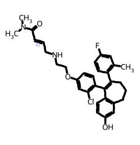 Cc1cc(F)ccc1C1=C(c2ccc(OCCNC/C=C/C(=O)N(C)C)cc2Cl)c2ccc(O)cc2CCC1